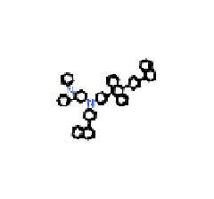 c1ccc(-n2c3ccccc3c3cc(N(c4ccc(-c5cccc6ccccc56)cc4)c4ccc(-c5c6ccccc6c(-c6ccc(-c7cccc8ccccc78)cc6)c6ccccc56)cc4)ccc32)cc1